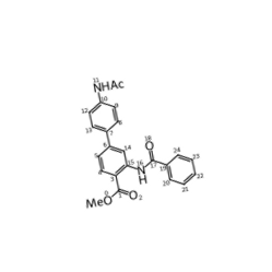 COC(=O)c1ccc(-c2ccc(NC(C)=O)cc2)cc1NC(=O)c1ccccc1